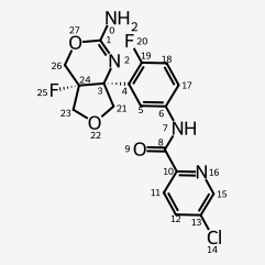 NC1=N[C@@]2(c3cc(NC(=O)c4ccc(Cl)cn4)ccc3F)COC[C@@]2(F)CO1